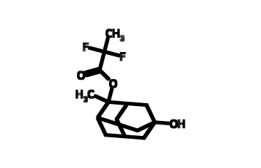 CC(F)(F)C(=O)OC1(C)C2CC3CC1CC(O)(C3)C2